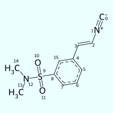 [C-]#[N+]C=Cc1cccc(S(=O)(=O)N(C)C)c1